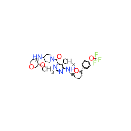 CO[C@@H]1COCC[C@@H]1NC1CCN(C(=O)c2ncnc(NC[C@H]3CCC[C@@H](c4ccc(OC(F)(F)F)cc4)O3)c2C)CC1